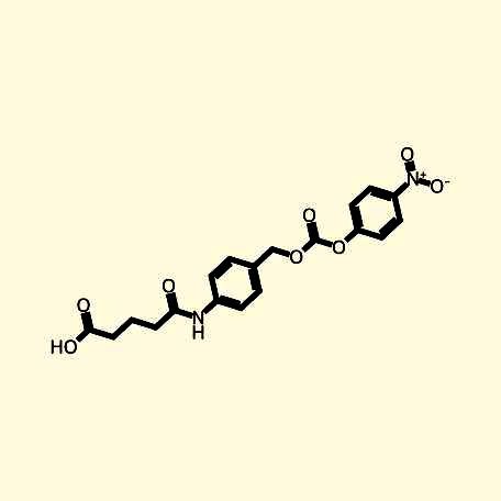 O=C(O)CCCC(=O)Nc1ccc(COC(=O)Oc2ccc([N+](=O)[O-])cc2)cc1